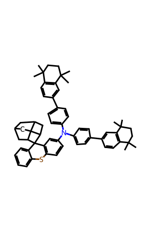 CC1(C)CCC(C)(C)c2cc(-c3ccc(N(c4ccc(-c5ccc6c(c5)C(C)(C)CCC6(C)C)cc4)c4ccc5c(c4)C4(c6ccccc6S5)C5CC6CC7CC4C75C6)cc3)ccc21